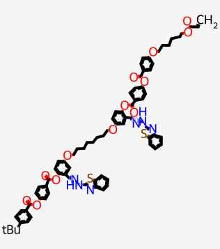 C=CC(=O)OCCCCCCOc1ccc(C(=O)Oc2ccc(C(=O)Oc3ccc(OCCCCCCCCOc4ccc(OC(=O)c5ccc(OC(=O)c6ccc(C(C)(C)C)cc6)cc5)c(/C=N/Nc5nc6ccccc6s5)c4)cc3/C=N/Nc3nc4ccccc4s3)cc2)cc1